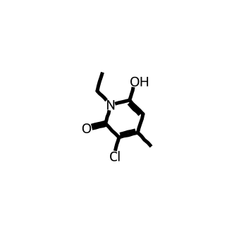 CCn1c(O)cc(C)c(Cl)c1=O